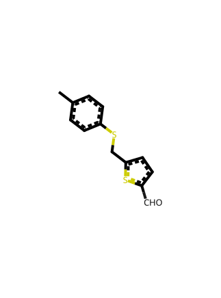 Cc1ccc(SCc2ccc(C=O)s2)cc1